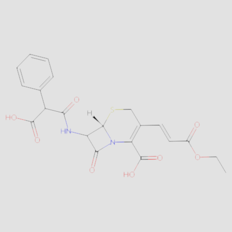 CCOC(=O)C=CC1=C(C(=O)O)N2C(=O)C(NC(=O)C(C(=O)O)c3ccccc3)[C@@H]2SC1